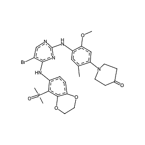 COc1cc(N2CCC(=O)CC2)c(C)cc1Nc1ncc(Br)c(Nc2ccc3c(c2P(C)(C)=O)OCCO3)n1